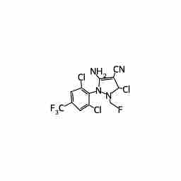 N#CC1=C(N)N(c2c(Cl)cc(C(F)(F)F)cc2Cl)N(CF)C1Cl